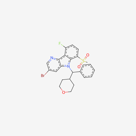 CS(=O)(=O)c1ccc(F)c2c3ncc(Br)cc3n(C(c3ccccc3)C3CCOCC3)c12